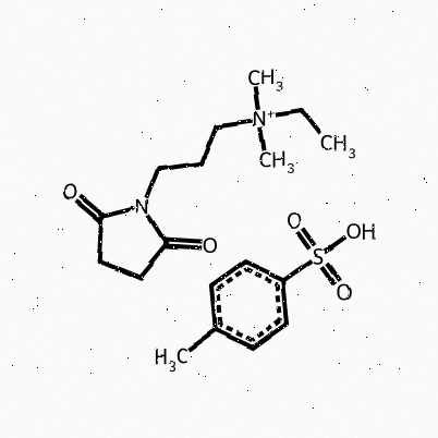 CC[N+](C)(C)CCCN1C(=O)CCC1=O.Cc1ccc(S(=O)(=O)O)cc1